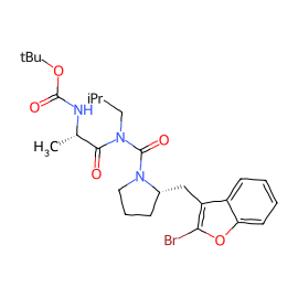 CC(C)CN(C(=O)[C@H](C)NC(=O)OC(C)(C)C)C(=O)N1CCC[C@H]1Cc1c(Br)oc2ccccc12